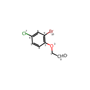 O=[C]COc1ccc(Cl)cc1Br